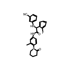 Cc1cc(NC(=O)C(Nc2cccc(C#N)c2)c2ccccc2F)ccc1N1CCCCC1=O